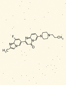 CCCN1CCN(c2ccc3nc(-c4cc(F)c5nc(C)cn5c4)cc(=O)n3c2)CC1